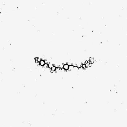 CS(=O)(=O)Oc1cn(CCCCc2ccc(OCc3coc(C=Cc4ccc(OC(F)(F)F)cc4)n3)cc2)nn1